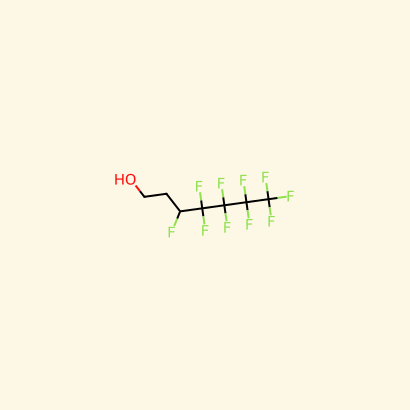 OCCC(F)C(F)(F)C(F)(F)C(F)(F)C(F)(F)F